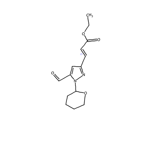 CCOC(=O)/C=C/c1cc(C=O)n(C2CCCCO2)n1